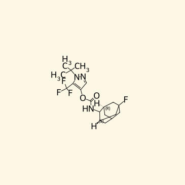 CC(C)(C)n1ncc(OC(=O)NC2[C@@H]3CC4C[C@H]2CC(F)(C4)C3)c1C(F)(F)F